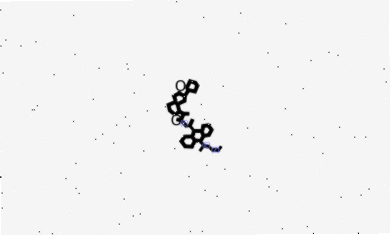 C=C(/C=c1/oc2ccc3cc4oc5ccccc5c4cc3c2c1=C)c1c2ccccc2c(/C(C)=C/C=C\C)c2ccccc12